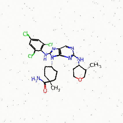 C[C@@H]1COCC[C@H]1Nc1ncc2nc(Nc3c(Cl)cc(Cl)cc3Cl)n([C@H]3CC[C@@](C)(C(N)=O)CC3)c2n1